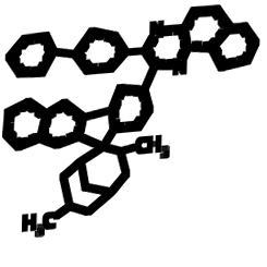 CC1CC2CC(C)C3(c4ccc(-c5nc6c(ccc7ccccc76)nc5-c5ccc(-c6ccccc6)cc5)cc4-c4cc5ccccc5cc43)C(C1)C2